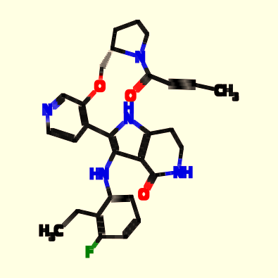 CC#CC(=O)N1CCC[C@H]1COc1cnccc1-c1[nH]c2c(c1Nc1cccc(F)c1CC)C(=O)NCC2